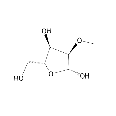 CO[C@@H]1[C@H](O)[C@@H](CO)O[C@H]1O